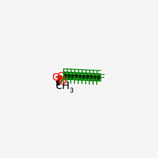 CCS(=O)(=O)OC(F)(F)C(F)(F)C(F)(F)C(F)(F)C(F)(F)C(F)(F)C(F)(F)C(F)(F)C(F)(F)C(F)(F)F